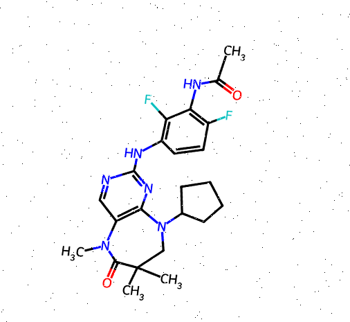 CC(=O)Nc1c(F)ccc(Nc2ncc3c(n2)N(C2CCCC2)CC(C)(C)C(=O)N3C)c1F